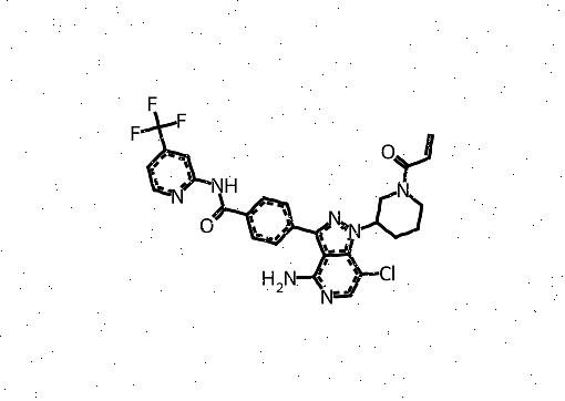 C=CC(=O)N1CCCC(n2nc(-c3ccc(C(=O)Nc4cc(C(F)(F)F)ccn4)cc3)c3c(N)ncc(Cl)c32)C1